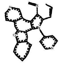 C=Nc1c(/C=C\C)n(-c2ccncc2)c2c1c1cnccc1c1oc3ccccc3c12